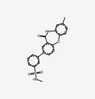 CNS(=O)(=O)c1cccc(-c2ccc3c(c2)C(=O)Nc2cc(C)ccc2O3)c1